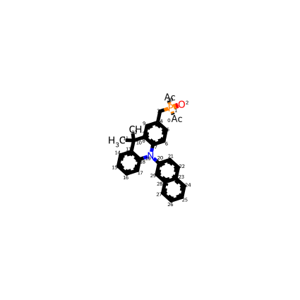 CC(=O)P(=O)(Cc1ccc2c(c1)C(C)(C)c1ccccc1N2c1ccc2ccccc2c1)C(C)=O